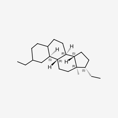 CCC1CCC2CC[C@@H]3[C@H](CC[C@]4(C)[C@@H](CC)CC[C@@H]34)[C@H]2C1